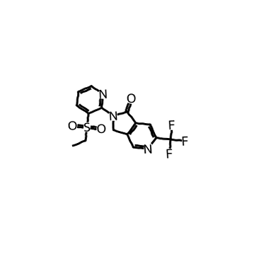 CCS(=O)(=O)c1cccnc1N1Cc2cnc(C(F)(F)F)cc2C1=O